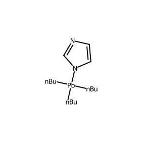 CCC[CH2][Pb]([CH2]CCC)([CH2]CCC)[n]1ccnc1